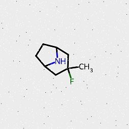 CC1(F)CC2CCC(C1)N2